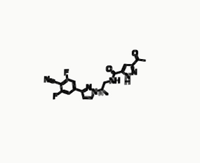 CC(=O)c1cc(C(=O)NC[C@@H](C)n2ccc(-c3cc(F)c(C#N)c(F)c3)n2)[nH]n1